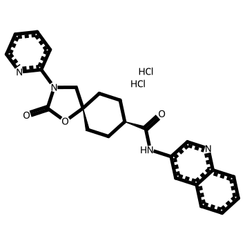 Cl.Cl.O=C1O[C@]2(CC[C@H](C(=O)Nc3cnc4ccccc4c3)CC2)CN1c1ccccn1